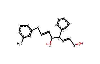 Cc1cccc(CC=CC(O)C(C=CCO)c2ccccc2)c1